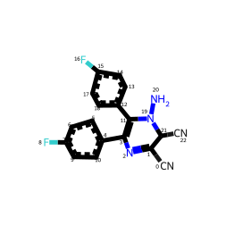 N#CC1=NC(c2ccc(F)cc2)=C(c2ccc(F)cc2)N(N)C1C#N